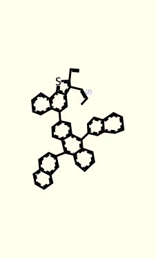 C=Cc1sc2c(cc(-c3ccc4c(-c5ccc6ccccc6c5)c5ccccc5c(-c5ccc6ccccc6c5)c4c3)c3ccccc32)c1/C=C\C